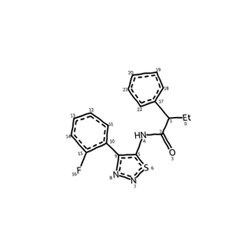 CCC(C(=O)Nc1snnc1-c1ccccc1F)c1ccccc1